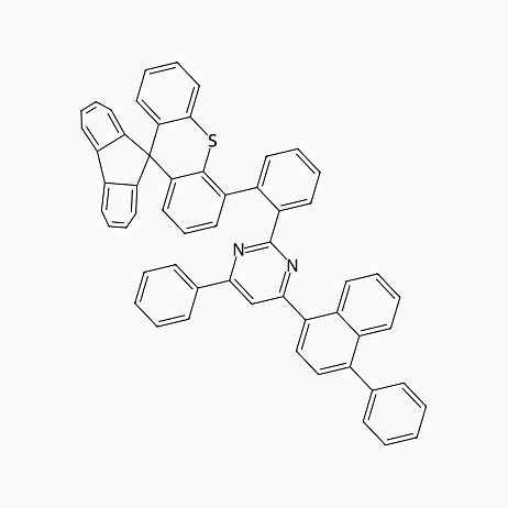 c1ccc(-c2cc(-c3ccc(-c4ccccc4)c4ccccc34)nc(-c3ccccc3-c3cccc4c3Sc3ccccc3C43c4ccccc4-c4ccccc43)n2)cc1